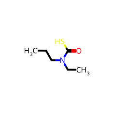 CCCN(CC)C(=O)S